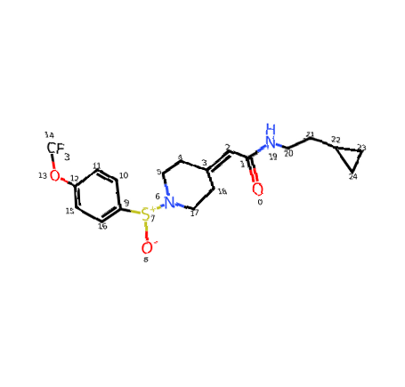 O=C(C=C1CCN([S+]([O-])c2ccc(OC(F)(F)F)cc2)CC1)NCCC1CC1